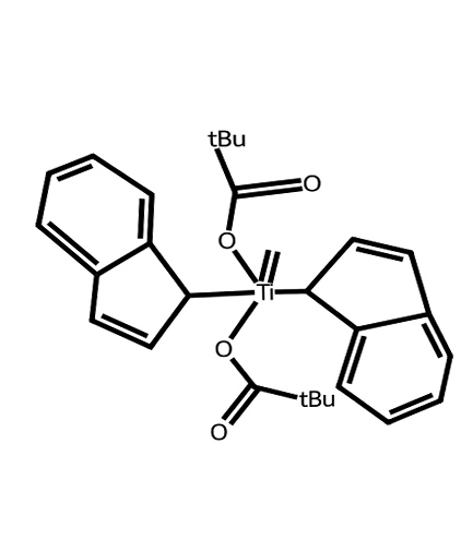 [CH2]=[Ti]([O]C(=O)C(C)(C)C)([O]C(=O)C(C)(C)C)([CH]1C=Cc2ccccc21)[CH]1C=Cc2ccccc21